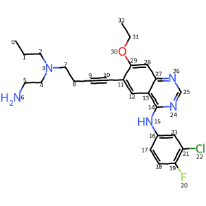 CCCN(CCN)CCC#Cc1cc2c(Nc3ccc(F)c(Cl)c3)ncnc2cc1OCC